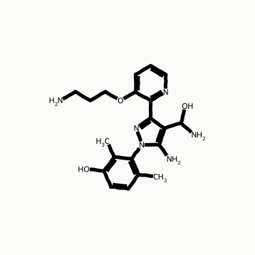 Cc1ccc(O)c(C)c1-n1nc(-c2ncccc2OCCCN)c(C(N)O)c1N